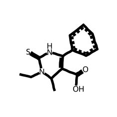 CCN1C(=S)NC(c2ccccc2)=C(C(=O)O)C1C